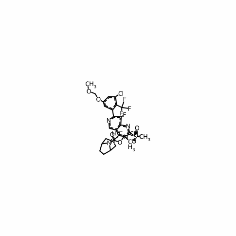 COCOc1cc(Cl)c(C(F)(F)F)c(-c2ncc3c(N4CC5CCC(C4)N5C(=O)OC(C)(C)C)nc(S(C)(=O)=O)nc3c2F)c1